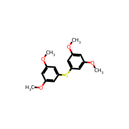 COc1cc(OC)cc(Sc2cc(OC)cc(OC)c2)c1